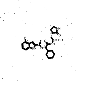 O=C[C@H](C[C@@H]1CCNC1=O)NC(=O)[C@@H](NC(=O)c1cc2c(F)cccc2[nH]1)C1CCCCC1